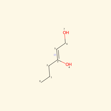 CCC/C(O)=C/CO